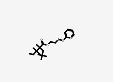 CCC(C)(C)C(C)(CC(C)(C)C)C(=O)OCCSSc1ccccn1